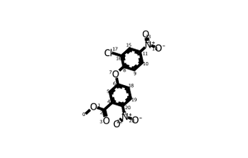 COC(=O)c1cc(Oc2ccc([N+](=O)[O-])cc2Cl)ccc1[N+](=O)[O-]